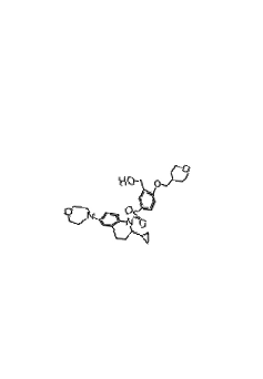 O=S(=O)(c1ccc(OCC2CCOCC2)c(CO)c1)N1c2ccc(N3CCOCC3)cc2CCC1C1CC1